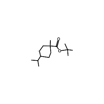 CC(C)C1[CH]CC(C)(C(=O)OC(C)(C)C)CC1